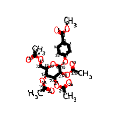 COC(=O)c1ccc(O[C@@H]2OC(COC(C)=O)[C@H](OC(C)=O)C(OC(C)=O)C2OC(C)=O)cc1